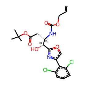 C=CCOC(=O)N[C@@H](CC(=O)OC(C)(C)C)[C@@H](O)c1nc(-c2c(Cl)cccc2Cl)co1